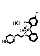 Cl.O=S1(=O)N(CCN2CCNCC2)c2ccccc2N1c1ccc(F)cc1F